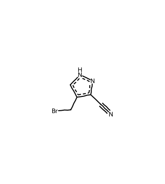 N#Cc1n[nH]cc1CBr